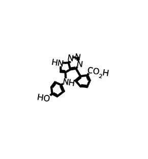 O=C(O)c1ccccc1-c1nnnc2[nH]cc(Nc3ccc(O)cc3)c12